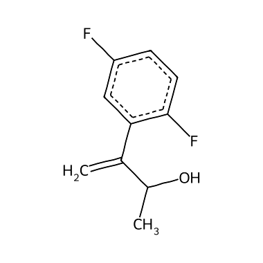 C=C(c1cc(F)ccc1F)C(C)O